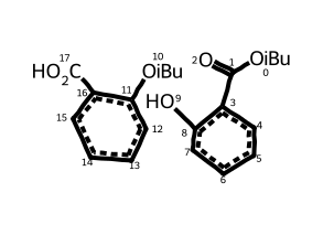 CC(C)COC(=O)c1ccccc1O.CC(C)COc1ccccc1C(=O)O